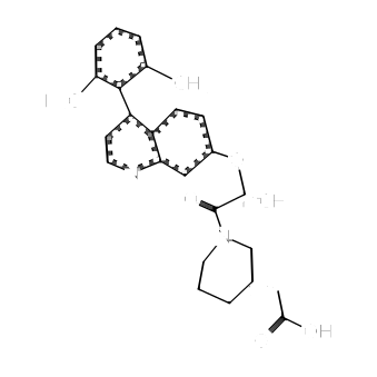 Cc1cccc(C)c1-c1ccnc2cc(O[C@H](C)C(=O)N3CCC[C@@H](CC(=O)O)C3)ccc12